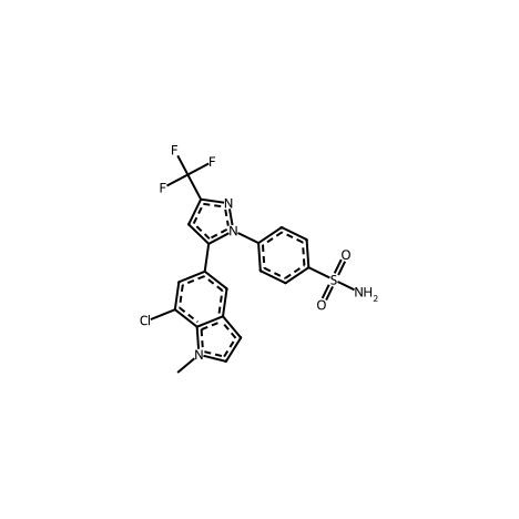 Cn1ccc2cc(-c3cc(C(F)(F)F)nn3-c3ccc(S(N)(=O)=O)cc3)cc(Cl)c21